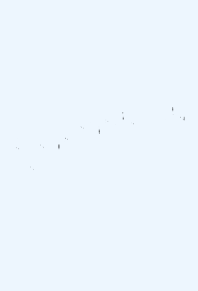 NC(=O)COCCNC(=O)CNC(=O)CN1CCN(C(=O)CN2CCN(CC(=O)O)CCN(CC(=O)O)CC2)CC1